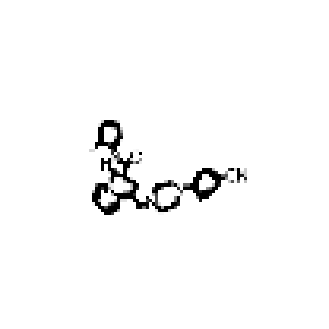 N#Cc1ccc(N2CCN(Cc3cc4c(=O)n(-c5ccccc5F)nc-4n4ccccc34)CC2)cc1